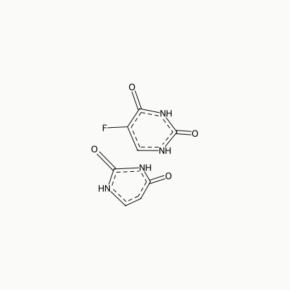 O=c1[nH]cc(F)c(=O)[nH]1.O=c1cc[nH]c(=O)[nH]1